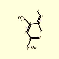 C=C(/C=C(\C(C)=C/C)[N+](=O)[O-])NC(C)=O